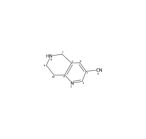 N#Cc1cnc2c(c1)CNCC2